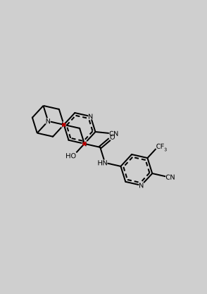 N#Cc1ncc(N2C3CC2CN(CC(O)C(=O)Nc2cnc(C#N)c(C(F)(F)F)c2)C3)cn1